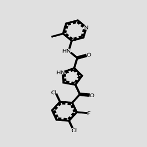 Cc1ccncc1NC(=O)c1cc(C(=O)c2c(Cl)ccc(Cl)c2F)c[nH]1